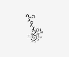 CC1(OCCOCC(=O)Cl)C2CC3CC(C2)CC1C3